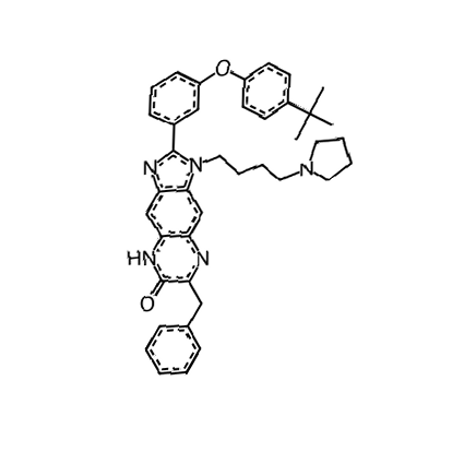 CC(C)(C)c1ccc(Oc2cccc(-c3nc4cc5[nH]c(=O)c(Cc6ccccc6)nc5cc4n3CCCCN3CCCC3)c2)cc1